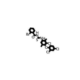 Cc1cc(NC(=S)NC(=O)c2ccccc2Br)c(C)c(Cl)c1Oc1ccc(Cl)cc1Cl